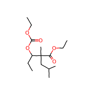 CCOC(=O)OC(CC)C(C)(CC(C)C)C(=O)OCC